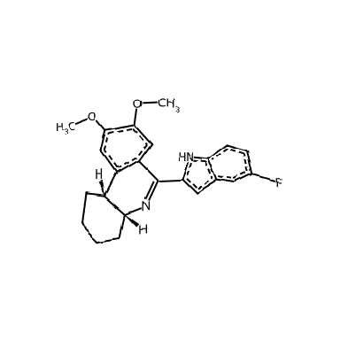 COc1cc2c(cc1OC)[C@H]1CCCC[C@H]1N=C2c1cc2cc(F)ccc2[nH]1